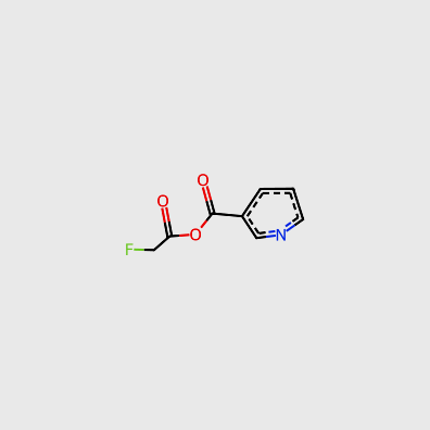 O=C(CF)OC(=O)c1cccnc1